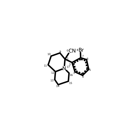 N#CC1(c2ccccc2Br)CCCC2CCCCN21